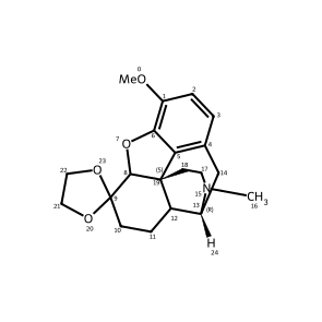 COc1ccc2c3c1OC1C4(CCC5[C@@H](C2)N(C)CC[C@@]351)OCCO4